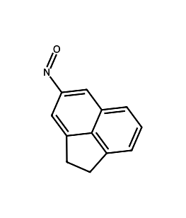 O=Nc1cc2c3c(cccc3c1)CC2